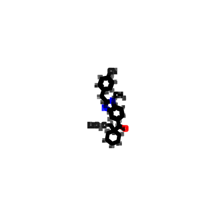 CCOC(=O)CC1(C(=O)c2ccc3c(c2)nc(Cc2ccc(C#N)cc2)n3C)CCCCC1